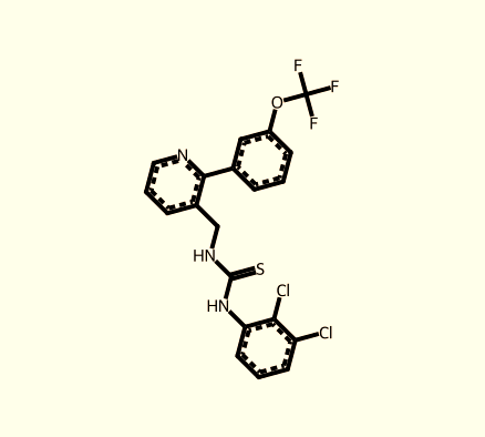 FC(F)(F)Oc1cccc(-c2ncccc2CNC(=S)Nc2cccc(Cl)c2Cl)c1